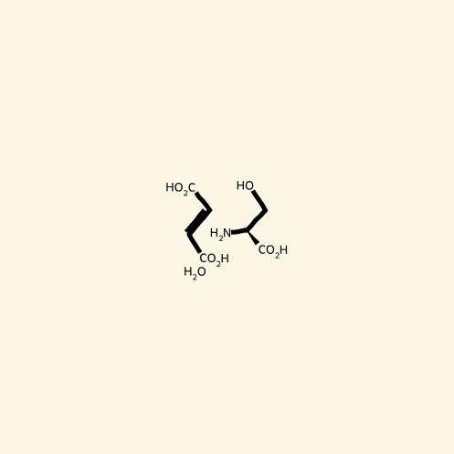 N[C@@H](CO)C(=O)O.O.O=C(O)/C=C/C(=O)O